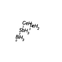 [BiH3].[GeH4].[SbH3].[TeH2]